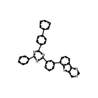 c1ccc(-c2ccc(-c3nc(-c4ccccc4)nc(-c4cccc(-c5cccc6c5sc5cncnc56)c4)n3)cc2)cc1